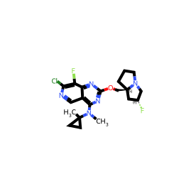 CN(c1nc(OC[C@@]23CCCN2C[C@H](F)C3)nc2c(F)c(Cl)ncc12)C1(C)CC1